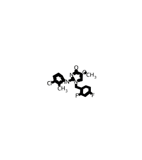 COc1cn(CC2=C(F)C=C(F)CC2)c(Nc2cccc(Cl)c2C)nc1=O